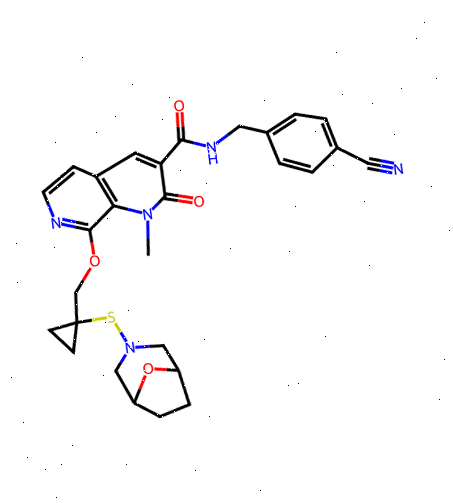 Cn1c(=O)c(C(=O)NCc2ccc(C#N)cc2)cc2ccnc(OCC3(SN4CC5CCC(C4)O5)CC3)c21